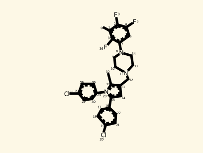 Cc1c(F)c(F)cc(N2CCN(Cc3cc(-c4ccc(Cl)cc4)n(-c4ccc(Cl)cc4)c3C)CC2)c1F